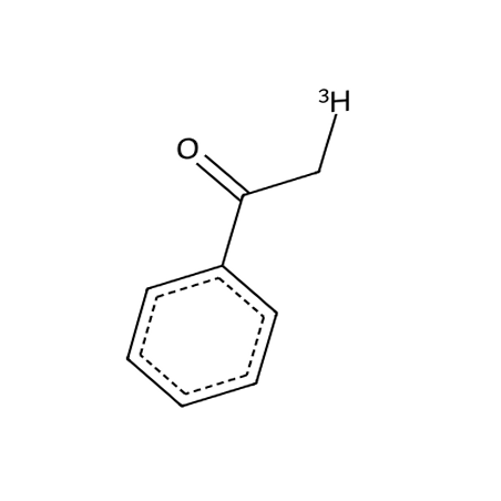 [3H]CC(=O)c1ccccc1